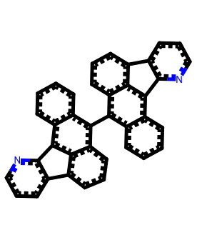 c1cnc2c(c1)-c1cccc3c(-c4c5ccccc5c5c6c(cccc46)-c4cccnc4-5)c4ccccc4c-2c13